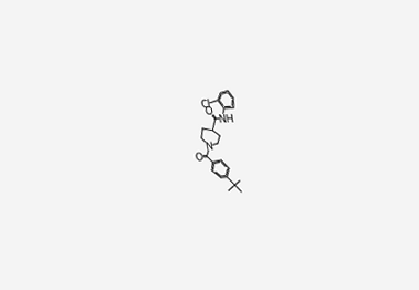 CC(C)(C)c1ccc(C(=O)N2CCC(C(=O)Nc3ccccc3Cl)CC2)cc1